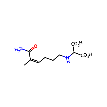 CC(=CCCCNC(C(=O)O)C(=O)O)C(N)=O